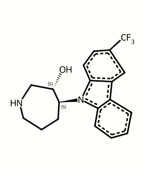 O[C@H]1CNCCC[C@@H]1n1c2ccccc2c2cc(C(F)(F)F)ccc21